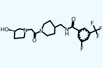 O=C(NCC1CCN(C(=O)CN2CC[C@@H](O)C2)CC1)c1cc(F)cc(C(F)(F)F)c1